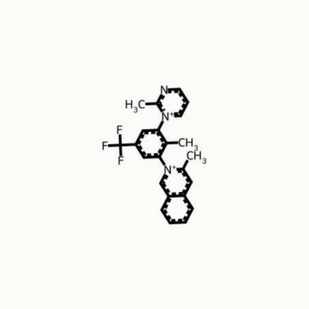 Cc1c(-[n+]2cc3ccccc3cc2C)cc(C(F)(F)F)cc1-[n+]1cccnc1C